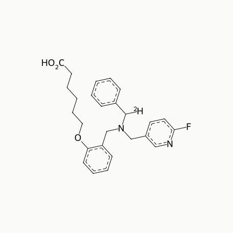 [2H]C(c1ccccc1)N(Cc1ccc(F)nc1)Cc1ccccc1OCCCCCC(=O)O